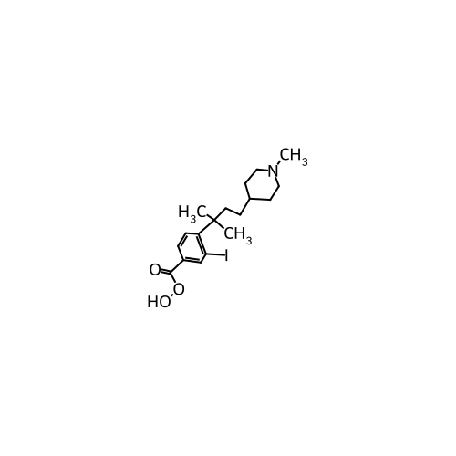 CN1CCC(CCC(C)(C)c2ccc(C(=O)OO)cc2I)CC1